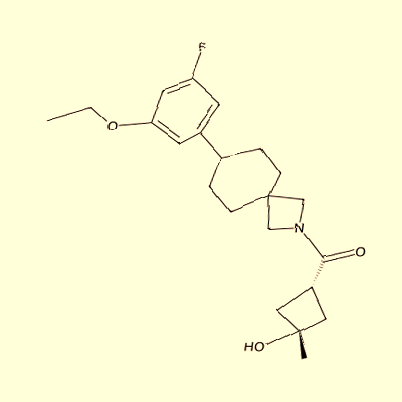 CCOc1cc(F)cc(C2CCC3(CC2)CN(C(=O)[C@H]2C[C@@](C)(O)C2)C3)c1